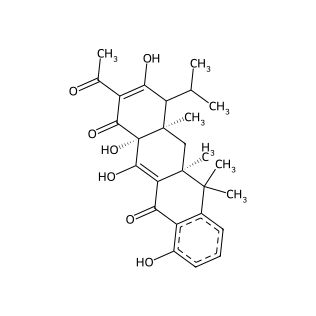 CC(=O)C1=C(O)C(C(C)C)[C@@]2(C)C[C@]3(C)C(=C(O)[C@@]2(O)C1=O)C(=O)c1c(O)cccc1C3(C)C